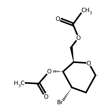 CC(=O)OC[C@H]1O[CH]C[C@H](Br)[C@@H]1OC(C)=O